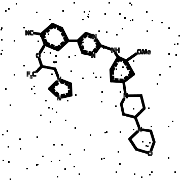 COc1cc(N2CCC(N3CCOCC3)CC2)ccc1Nc1ncc(-c2ccc(C#N)c(OC(Cn3ccnc3)C(F)(F)F)c2)cn1